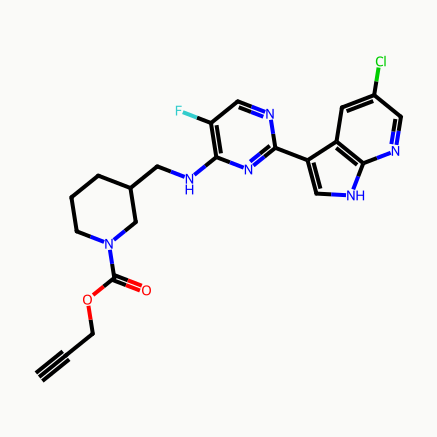 C#CCOC(=O)N1CCCC(CNc2nc(-c3c[nH]c4ncc(Cl)cc34)ncc2F)C1